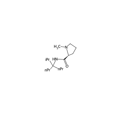 CCCC(CCC)(NC(=O)[C@@H]1CCCN1C)C(C)C